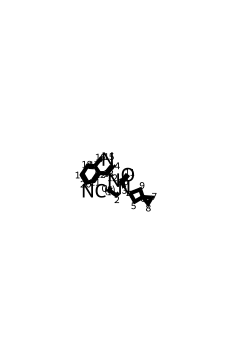 N#C[C@@H]1CN(C2CC3(CC3)C2)C(=O)N1c1cncc2ccccc12